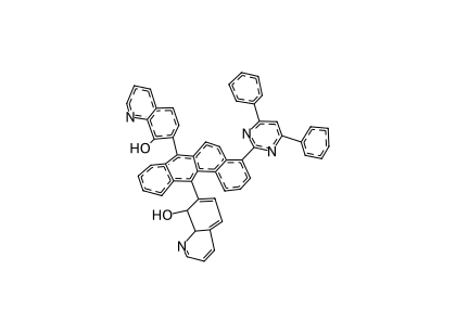 Oc1c(-c2c3ccccc3c(C3=CC=C4C=CC=NC4C3O)c3c2ccc2c(-c4nc(-c5ccccc5)cc(-c5ccccc5)n4)cccc23)ccc2cccnc12